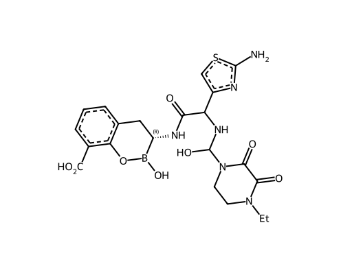 CCN1CCN(C(O)NC(C(=O)N[C@H]2Cc3cccc(C(=O)O)c3OB2O)c2csc(N)n2)C(=O)C1=O